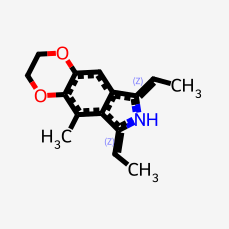 C/C=c1\[nH]/c(=C\C)c2c(C)c3c(cc12)OCCO3